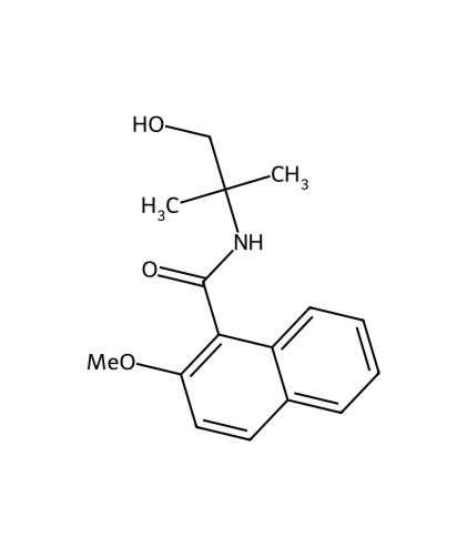 COc1ccc2ccccc2c1C(=O)NC(C)(C)CO